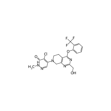 CN/N=C\C(=C(\Cl)C=O)N1CCc2c(nc(CO)nc2Oc2ccccc2C(F)(F)F)C1